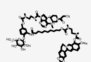 COc1ccc2cc3[n+](cc2c1OC(=O)N(C)CCN(C)C(=O)OCCCCCCCCCC(=O)Nc1cc(COC(=O)N(C)CCN(C)C(=O)n2ccc4c(N(C)[C@@H]5CN(C(=O)CC#N)CC[C@@H]5C)ncnc42)ccc1O[C@@H]1O[C@H](C(=O)O)[C@@H](O)[C@H](O)[C@H]1O)CCc1cc2c(cc1-3)OCO2